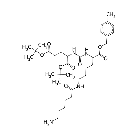 Cc1ccc(COC(=O)C(CCCCNC(=O)CCCCCN)NC(=O)NC(CCC(=O)OC(C)(C)C)C(=O)OC(C)(C)C)cc1